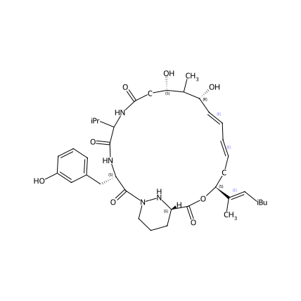 CCC(C)/C=C(\C)[C@@H]1C/C=C/C=C/[C@@H](O)C(C)[C@@H](O)CC(=O)NC(C(C)C)C(=O)N[C@@H](Cc2cccc(O)c2)C(=O)N2CCC[C@H](N2)C(=O)O1